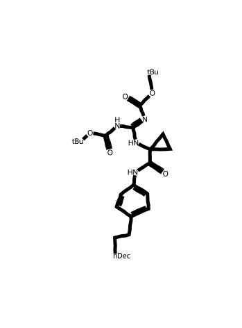 CCCCCCCCCCCCc1ccc(NC(=O)C2(N/C(=N/C(=O)OC(C)(C)C)NC(=O)OC(C)(C)C)CC2)cc1